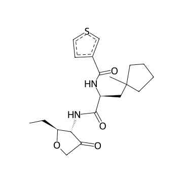 CC[C@@H]1OCC(=O)[C@H]1NC(=O)[C@H](CC1(C)CCCC1)NC(=O)c1ccsc1